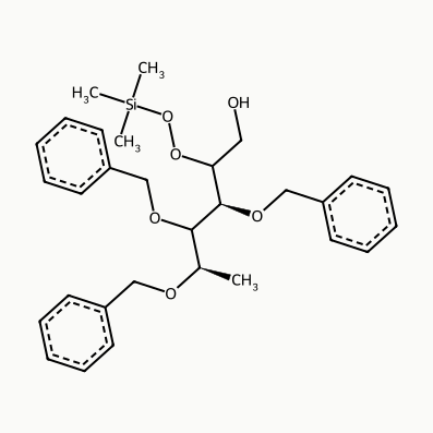 C[C@@H](OCc1ccccc1)C(OCc1ccccc1)[C@H](OCc1ccccc1)C(CO)OO[Si](C)(C)C